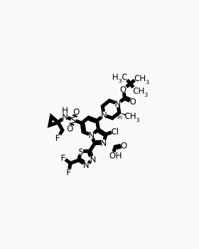 C[C@@H]1CN(c2cc(S(=O)(=O)NC3(CF)CC3)cn3c(-c4nnc(C(F)F)s4)nc(Cl)c23)CCN1C(=O)OC(C)(C)C.O=CO